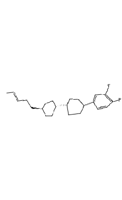 C/C=C/CC[C@H]1CC[C@H](C2CCC(c3ccc(F)c(F)c3)CC2)CC1